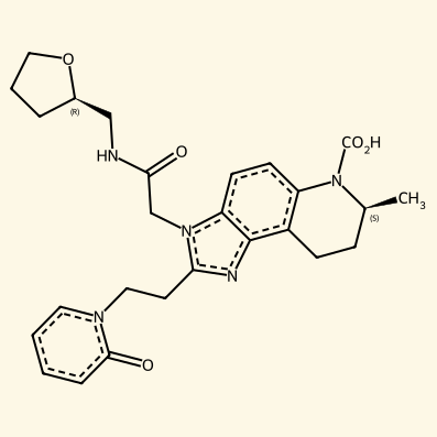 C[C@H]1CCc2c(ccc3c2nc(CCn2ccccc2=O)n3CC(=O)NC[C@H]2CCCO2)N1C(=O)O